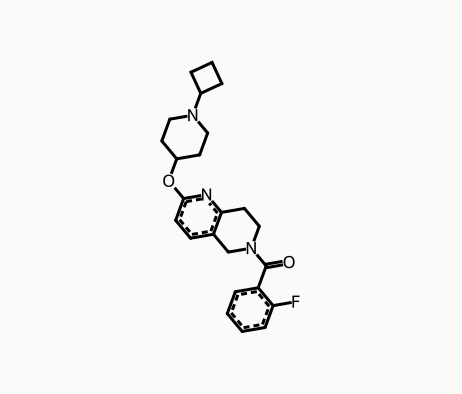 O=C(c1ccccc1F)N1CCc2nc(OC3CCN(C4CCC4)CC3)ccc2C1